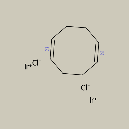 C1=C\CC/C=C\CC/1.[Cl-].[Cl-].[Ir+].[Ir+]